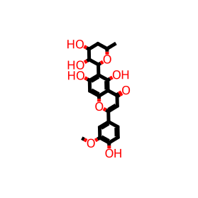 COc1cc(-c2cc(=O)c3c(O)c(C4OC(C)CC(O)C4O)c(O)cc3o2)ccc1O